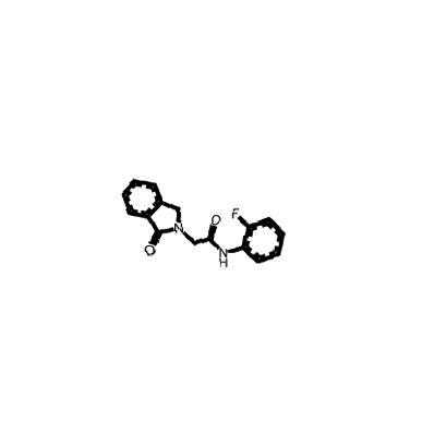 O=C(CN1Cc2ccccc2C1=O)Nc1ccccc1F